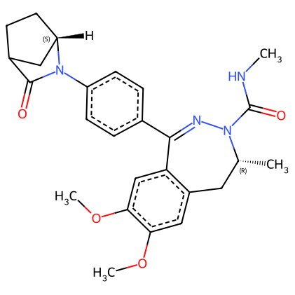 CNC(=O)N1N=C(c2ccc(N3C(=O)C4CC[C@H]3C4)cc2)c2cc(OC)c(OC)cc2C[C@H]1C